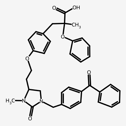 CN1C(=O)N(Cc2ccc(C(=O)c3ccccc3)cc2)CC1CCOc1ccc(CC(C)(Oc2ccccc2)C(=O)O)cc1